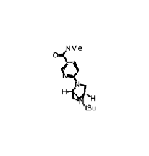 CNC(=O)c1ccc(N2C[C@H]3C[C@@H]2CN3C(C)(C)C)nc1